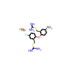 Br.Br.N=C(N)SCc1cc(F)ccc1Oc1ccc([N+](=O)[O-])cc1CSC(=N)N